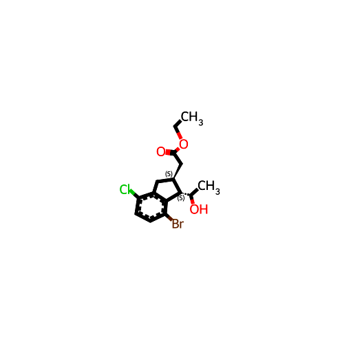 CCOC(=O)C[C@@H]1Cc2c(Cl)ccc(Br)c2[C@H]1C(C)O